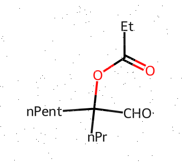 CCCCCC([C]=O)(CCC)OC(=O)CC